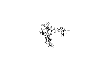 C=CCNC(=O)OCCCc1cc(-n2nc3ccc(C(F)(F)F)cc3n2)c(O)c(C(C)(C)C)c1